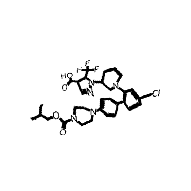 CC(C)COC(=O)N1CCN(c2ccc(-c3ccc(Cl)cc3N3CCCC(n4ncc(C(=O)O)c4C(F)(F)F)C3)cc2)CC1